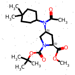 COC(=O)[C@@H]1C[C@H](N(C(C)=O)C2CCC(C)(C)CC2)CN1C(=O)OC(C)(C)C